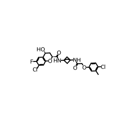 Cc1cc(OCC(=O)NC23CC(NC(=O)[C@@H]4C[C@H](O)c5cc(F)c(Cl)cc5O4)(C2)C3)ccc1Cl